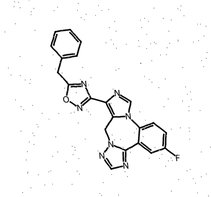 Fc1ccc2c(c1)-c1ncnn1Cc1c(-c3noc(Cc4ccccc4)n3)ncn1-2